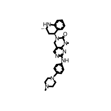 C[C@H]1C[C@H](N2Cc3cnc(Nc4ccc(N5CCN(C)CC5)cc4)nc3N(C)C2=O)c2ccccc2N1